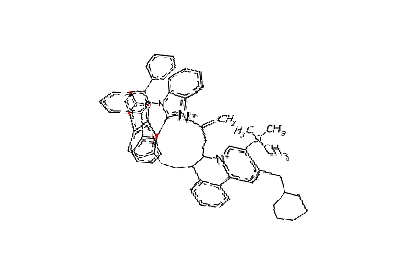 C=C1CC2C(CCc3ccc4c(oc5ccccc54)c3-c3n(-c4c(-c5ccccc5)cccc4-c4ccccc4)c4ccccc4[n+]31)c1ccccc1-c1cc(CC3CCCCC3)c([Si](C)(C)C)c[n+]12